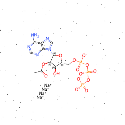 CC(=O)O[C@@H]1[C@H](O)[C@@H](COP(=O)([O-])OP(=O)([O-])OP(=O)([O-])[O-])O[C@H]1n1cnc2c(N)ncnc21.[Na+].[Na+].[Na+].[Na+]